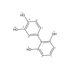 Oc1[c]ccc(O)c1-c1ccc(O)c(O)c1